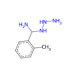 Cc1ccccc1C(N)NNN